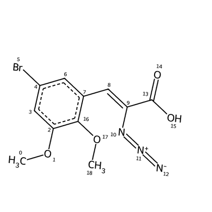 COc1cc(Br)cc(/C=C(\N=[N+]=[N-])C(=O)O)c1OC